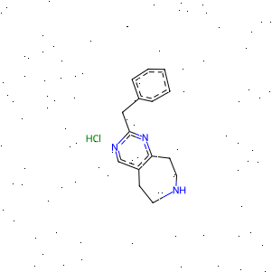 Cl.c1ccc(Cc2ncc3c(n2)CCNCC3)cc1